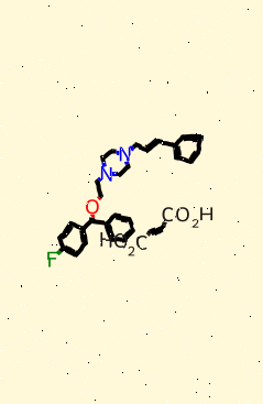 Fc1ccc(C(OCCN2CCN(CC=Cc3ccccc3)CC2)c2ccccc2)cc1.O=C(O)C=CC(=O)O